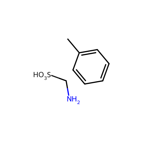 Cc1ccccc1.NCS(=O)(=O)O